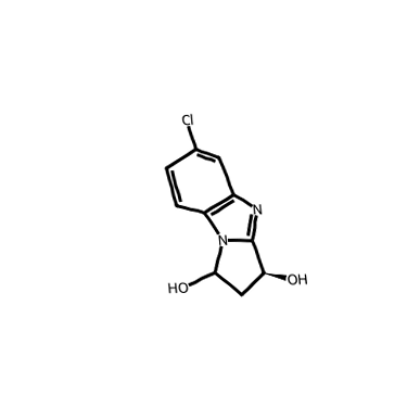 OC1C[C@H](O)c2nc3cc(Cl)ccc3n21